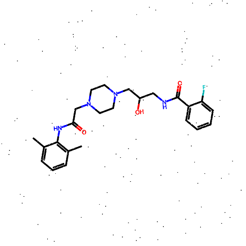 Cc1cccc(C)c1NC(=O)CN1CCN(CC(O)CNC(=O)c2ccccc2F)CC1